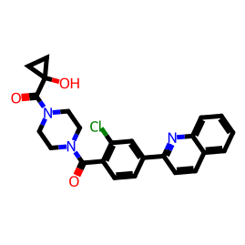 O=C(c1ccc(-c2ccc3ccccc3n2)cc1Cl)N1CCN(C(=O)C2(O)CC2)CC1